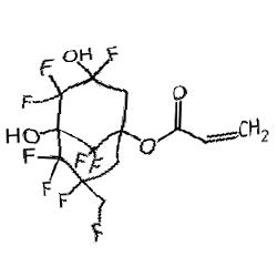 C=CC(=O)OC12CC(O)(F)C(F)(F)C(O)(C(F)(F)C(F)(CF)C1)C2(F)F